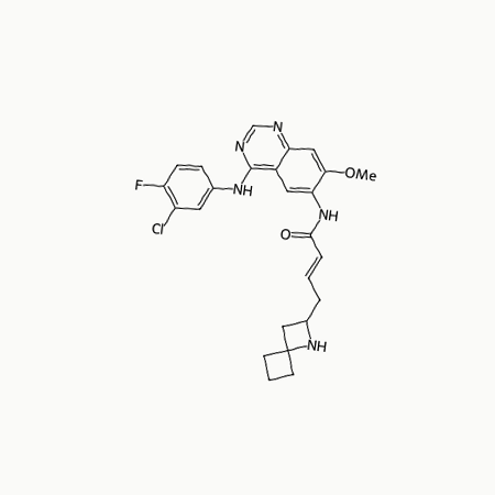 COc1cc2ncnc(Nc3ccc(F)c(Cl)c3)c2cc1NC(=O)C=CCC1CC2(CCC2)N1